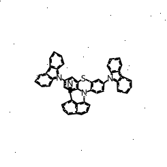 N#Cc1cccc2cccc(N3c4ccc(-n5c6ccccc6c6ccccc65)cc4Sc4cc(-n5c6ccccc6c6ccccc65)ccc43)c12